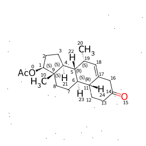 CC(=O)O[C@H]1CC[C@H]2[C@H]3[C@H](CC[C@]12C)[C@H]1CCC(=O)CC1=C[C@H]3C